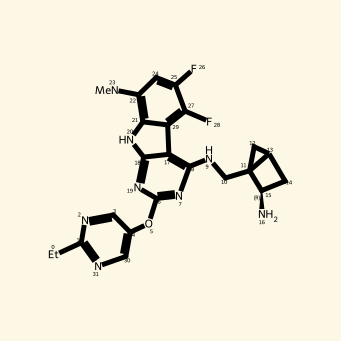 CCc1ncc(Oc2nc(NCC34CC3C[C@H]4N)c3c(n2)[nH]c2c(NC)cc(F)c(F)c23)cn1